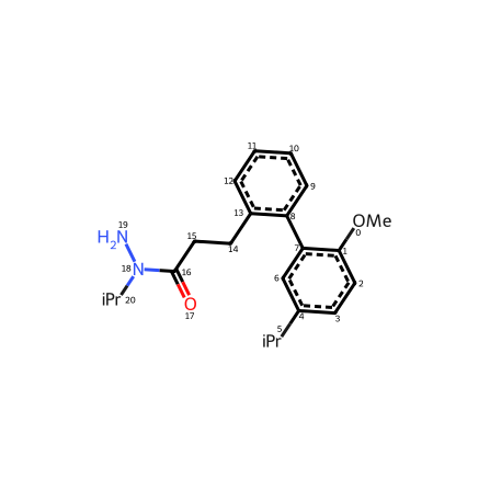 COc1ccc(C(C)C)cc1-c1ccccc1CCC(=O)N(N)C(C)C